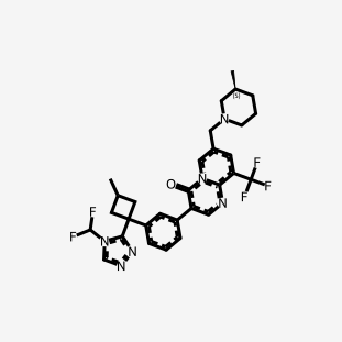 CC1CC(c2cccc(-c3cnc4c(C(F)(F)F)cc(CN5CCC[C@H](C)C5)cn4c3=O)c2)(c2nncn2C(F)F)C1